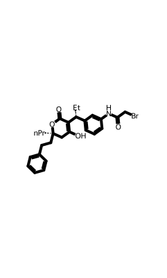 CCC[C@@]1(CCc2ccccc2)CC(O)=C([C@H](CC)c2cccc(NC(=O)CBr)c2)C(=O)O1